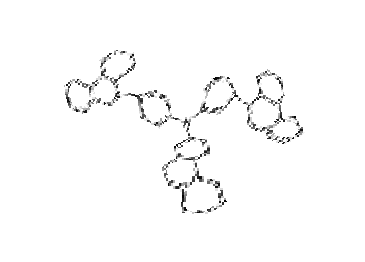 c1cc(-c2cc3ccccc3c3ccccc23)cc(N(c2ccc(-c3cc4ccccc4c4ccccc34)cc2)c2ccc3c(ccc4ccccc43)c2)c1